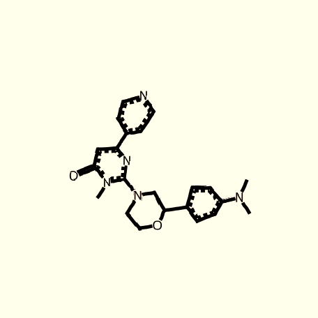 CN(C)c1ccc(C2CN(c3nc(-c4ccncc4)cc(=O)n3C)CCO2)cc1